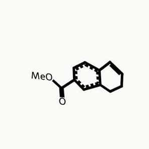 COC(=O)c1ccc2c(c1)CCC=C2